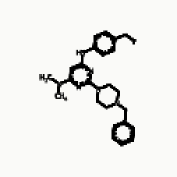 CN(C)c1cc(Nc2ccc(CF)cc2)nc(N2CCN(Cc3ccccc3)CC2)n1